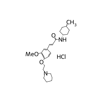 COc1cc(C=CC(=O)N[C@H]2CC[C@H](C)CC2)ccc1OCCN1CCCCC1.Cl